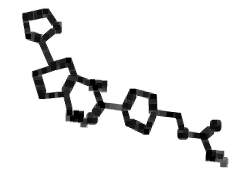 NC(=O)OCc1ccc(C(=O)Nc2cc(-c3cccs3)ccc2N)cc1